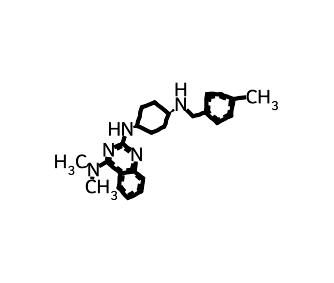 Cc1ccc(CN[C@H]2CC[C@@H](Nc3nc(N(C)C)c4ccccc4n3)CC2)cc1